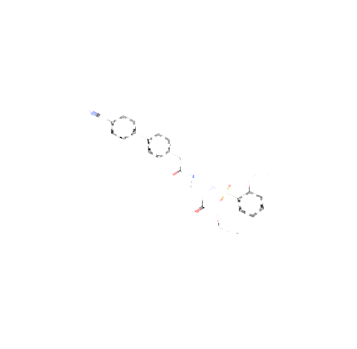 CCOC(=O)[C@H](CNC(=O)Cc1ccc(-c2ccc(C#N)cc2)cc1)NS(=O)(=O)c1ccccc1OC